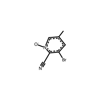 Cc1cc(Br)c(C#N)[n+]([O-])c1